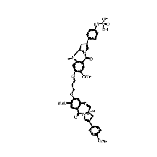 COc1ccc(C2=CN3C(=O)c4cc(OC)c(OCCCOc5cc6c(cc5OC)C(=O)N5C=C(c7ccc(NP(=O)(O)O)cc7)CC5CN6C)cc4N=C[C@@H]3C2)cc1